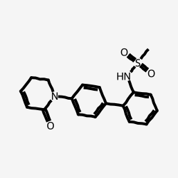 CS(=O)(=O)Nc1ccccc1-c1ccc(N2CCC=CC2=O)cc1